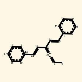 CC=C=C(C=Cc1ccccc1)C=Cc1ccccc1